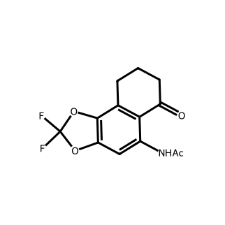 CC(=O)Nc1cc2c(c3c1C(=O)CCC3)OC(F)(F)O2